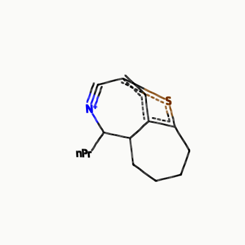 CCCC1[N+]#Cc2cc3c(s2)CCCCC31